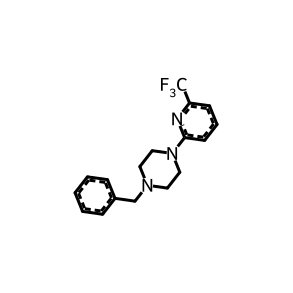 FC(F)(F)c1cccc(N2CCN(Cc3ccccc3)CC2)n1